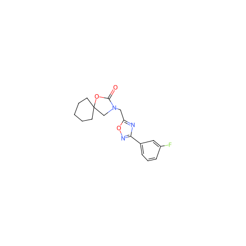 O=C1OC2(CCCCC2)CN1Cc1nc(-c2cccc(F)c2)no1